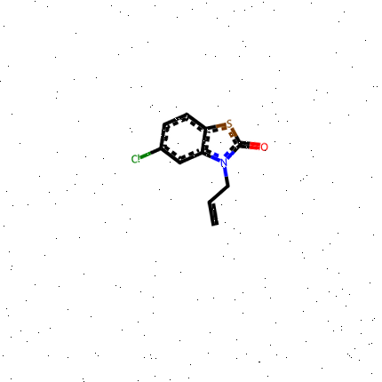 C=CCn1c(=O)sc2ccc(Cl)cc21